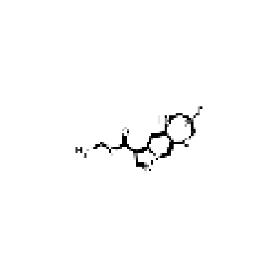 CCOC(=O)c1cnn2cc3c(cc12)NC[C@@H](F)CO3